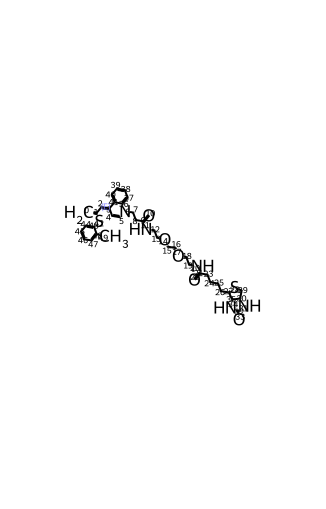 C=C(/C=C1\C=CN(CCC(=O)NCCOCCOCCNC(=O)CCCCC2SCC3NC(=O)NC32)c2ccccc21)Sc1ccccc1C